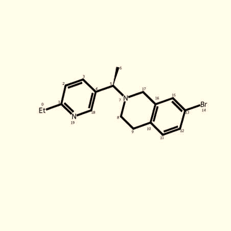 CCc1ccc([C@@H](C)N2CCc3ccc(Br)cc3C2)cn1